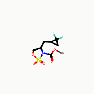 CC(C)(C)OC(=O)N1C(CC2CC2(F)F)COS1(=O)=O